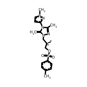 C=C1N(C[C@@H](F)COS(=O)(=O)c2ccc(C)cc2)N=C(C)N1c1ccn(C)n1